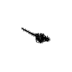 CCCCCCCCCCCCCCCc1cccc(OC(C)C(=O)Nc2ccccc2-n2[nH]c(N(CC)CC)c(Sc3nc4ccccc4s3)c2=O)c1